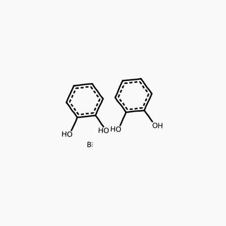 Oc1ccccc1O.Oc1ccccc1O.[B]